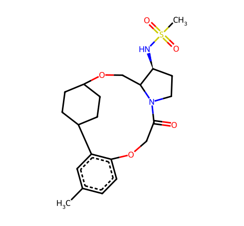 Cc1ccc2c(c1)C1CCC(CC1)OCC1[C@@H](NS(C)(=O)=O)CCN1C(=O)CO2